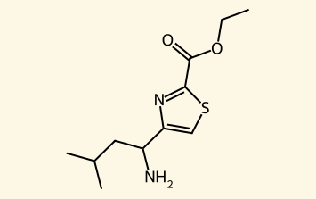 CCOC(=O)c1nc(C(N)CC(C)C)cs1